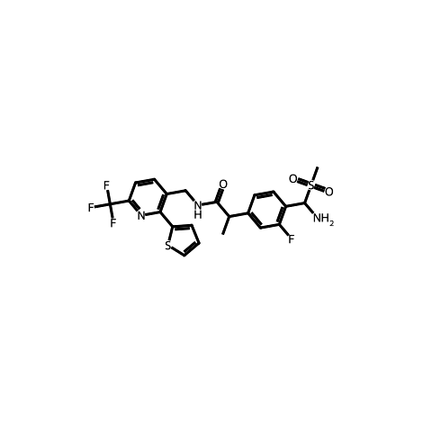 CC(C(=O)NCc1ccc(C(F)(F)F)nc1-c1cccs1)c1ccc(C(N)S(C)(=O)=O)c(F)c1